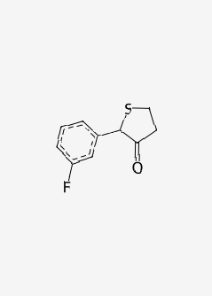 O=C1CCSC1c1cccc(F)c1